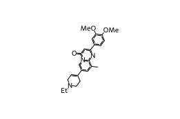 CCN1CC=C(c2cc(C)c3nc(-c4ccc(OC)c(OC)c4)cc(=O)n3c2)CC1